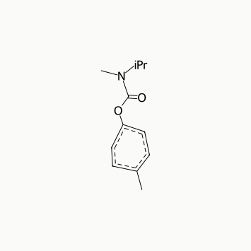 Cc1ccc(OC(=O)N(C)C(C)C)cc1